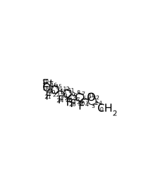 C=CC1CCC(c2ccc(-c3ccc(-c4ccc(OCC)c(F)c4)c(F)c3F)c(F)c2F)OC1